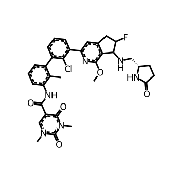 COc1nc(-c2cccc(-c3cccc(NC(=O)c4cn(C)c(=O)n(C)c4=O)c3C)c2Cl)cc2c1C(NC[C@@H]1CCC(=O)N1)C(F)C2